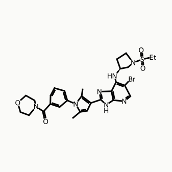 CCS(=O)(=O)N1CC[C@H](Nc2c(Br)cnc3[nH]c(-c4cc(C)n(-c5cccc(C(=O)N6CCOCC6)c5)c4C)nc23)C1